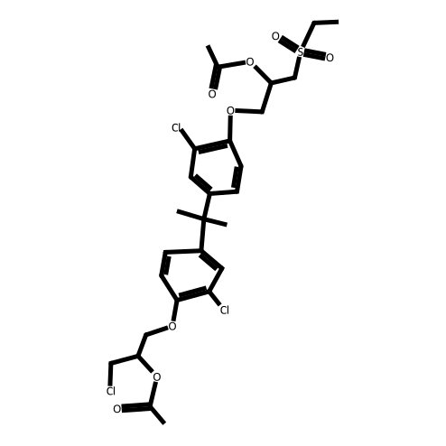 CCS(=O)(=O)CC(COc1ccc(C(C)(C)c2ccc(OCC(CCl)OC(C)=O)c(Cl)c2)cc1Cl)OC(C)=O